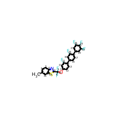 Cc1ccc2nc(C(F)(F)Oc3ccc(-c4ccc(-c5cc(F)c(F)c(F)c5)c(F)c4)c(F)c3)sc2c1